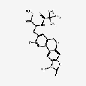 COC(=O)[C@H](Cc1cc2c(cc1F)-c1cc3c(cc1OC2)oc(=O)n3C)NC(=O)C(C)(C)C